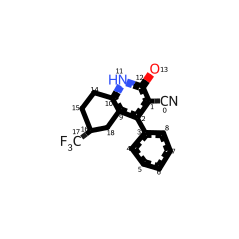 N#Cc1c(-c2ccccc2)c2c([nH]c1=O)CCC(C(F)(F)F)C2